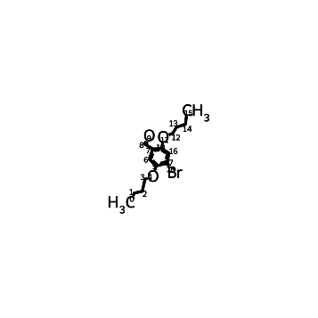 CCCCOc1cc(C=O)c(OCCCC)cc1Br